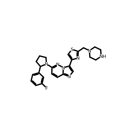 Fc1cccc(C2CCCN2c2ccc3ncc(-c4csc(CN5CCNCC5)n4)n3n2)c1